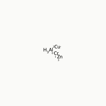 [AlH3].[Cr].[Cu].[Zn]